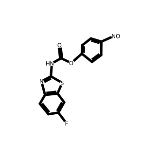 O=Nc1ccc(OC(=O)Nc2nc3ccc(F)cc3s2)cc1